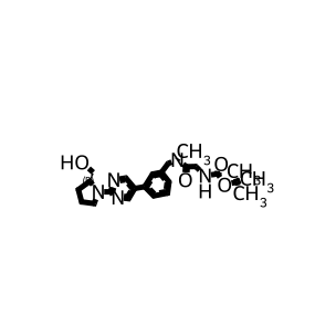 CN(Cc1cccc(-c2cnc(N3CCC[C@@H]3CO)nc2)c1)C(=O)CNC(=O)OC(C)(C)C